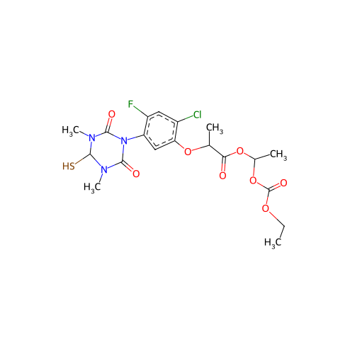 CCOC(=O)OC(C)OC(=O)C(C)Oc1cc(N2C(=O)N(C)C(S)N(C)C2=O)c(F)cc1Cl